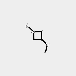 COC1CN(Br)C1